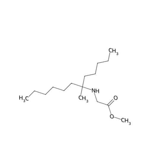 CCCCCCC(C)(CCCCC)NCC(=O)OC